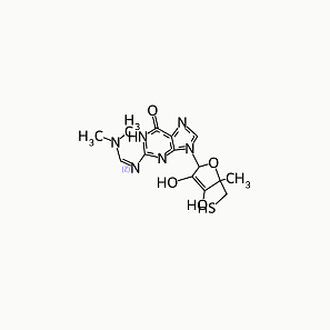 CN(C)/C=N\c1nc2c(ncn2C2OC(C)(CS)C(O)=C2O)c(=O)[nH]1